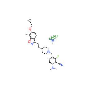 CNC.Cc1c(OCC2CC2)ccc2c(CCC3CCN(Cc4ccc(N(C)C)c(C#N)c4F)CC3)noc12.Cl.Cl.Cl